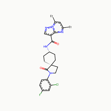 CCc1cc(CC)n2ncc(C(=O)N[C@H]3CC[C@@]4(CCN(c5ccc(F)cc5Cl)C4=O)CC3)c2n1